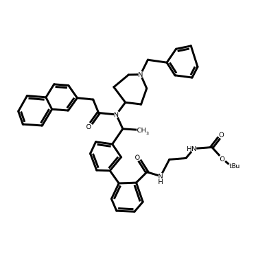 CC(c1cccc(-c2ccccc2C(=O)NCCNC(=O)OC(C)(C)C)c1)N(C(=O)Cc1ccc2ccccc2c1)C1CCN(Cc2ccccc2)CC1